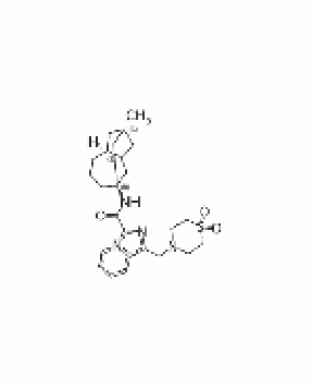 C[C@@]12CC3C[C@](NC(=O)c4nc(CN5CCS(=O)(=O)CC5)c5ccccn45)(CCC[C@H]3C1)C2